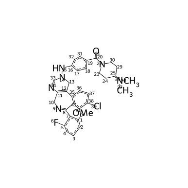 COc1cccc(F)c1C1=NCC2=C(CN(Nc3ccc(C(=O)N4CCC(N(C)C)CC4)cc3)C=N2)c2ccc(Cl)cc21